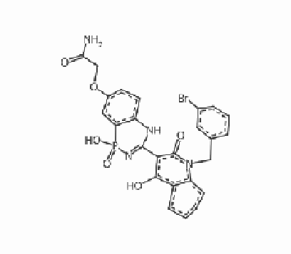 NC(=O)COc1ccc2c(c1)P(=O)(O)N=C(c1c(O)c3ccccc3n(Cc3cccc(Br)c3)c1=O)N2